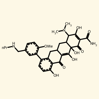 CCCNCc1ccc(OC)c(-c2ccc(O)c3c2CC2CC4C(N(C)C)C(O)=C(C(N)=O)C(=O)C4(O)C(O)=C2C3=O)c1